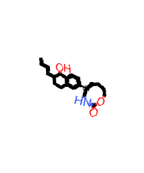 CCCCC1CCc2cc([C@H]3CCCCOC(=O)NC3)ccc2C1O